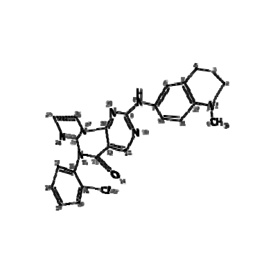 CN1CCCc2cc(Nc3ncc4c(=O)n(-c5ccccc5Cl)c5nccn5c4n3)ccc21